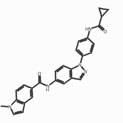 Cn1ccc2cc(C(=O)Nc3ccc4c(cnn4-c4ccc(NC(=O)C5CC5)cc4)c3)ccc21